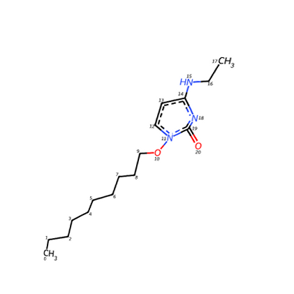 CCCCCCCCCCOn1ccc(NCC)nc1=O